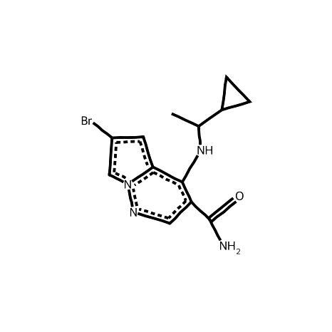 CC(Nc1c(C(N)=O)cnn2cc(Br)cc12)C1CC1